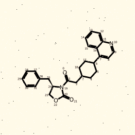 O=C(CC1CCC(c2ccnc3ccccc23)CC1)N1C(=O)OC[C@H]1Cc1ccccc1